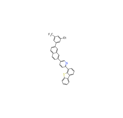 CCc1cc(-c2ccc3ccc(-c4ccc(-c5cccc6c5sc5ccccc56)nc4)cc3c2)cc(C(F)(F)F)c1